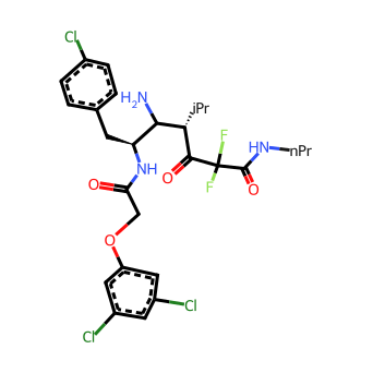 CCCNC(=O)C(F)(F)C(=O)[C@@H](C(C)C)C(N)[C@H](Cc1ccc(Cl)cc1)NC(=O)COc1cc(Cl)cc(Cl)c1